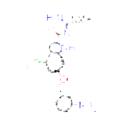 CNC(N)=NC(=O)c1cc2c(Cl)cc(OCc3cccc(N)c3)cc2[nH]1.Cl